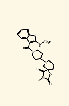 CCN1C(=O)OC2(CCCN(C3CCN(C(=O)c4c(NC(=O)O)sc5ccccc45)CC3)C2)C1=O